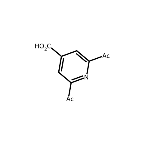 CC(=O)c1cc(C(=O)O)cc(C(C)=O)n1